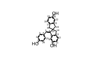 Oc1ccc(/C=C2\c3cc(O)ccc3CC23Cc2ccc(O)cc2C3)cc1